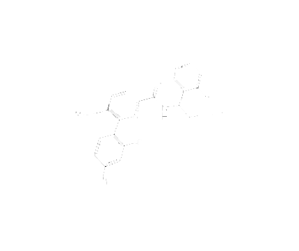 COc1ccc(C(=O)NC(CC(=O)O)c2ccccc2F)nc1-c1ccc(C(F)(F)F)cc1F